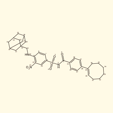 O=C(NS(=O)(=O)c1ccc(NCC23CC4CC(CC(C4)C2)C3)c([N+](=O)[O-])c1)c1ccc(C2=CCCCCCC2)cc1